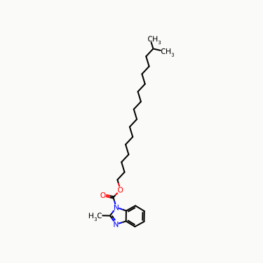 Cc1nc2ccccc2n1C(=O)OCCCCCCCCCCCCCCCC(C)C